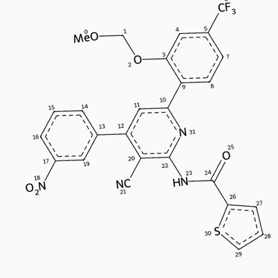 COCOc1cc(C(F)(F)F)ccc1-c1cc(-c2cccc([N+](=O)[O-])c2)c(C#N)c(NC(=O)c2cccs2)n1